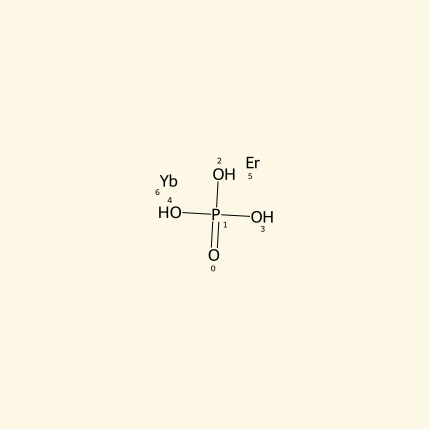 O=P(O)(O)O.[Er].[Yb]